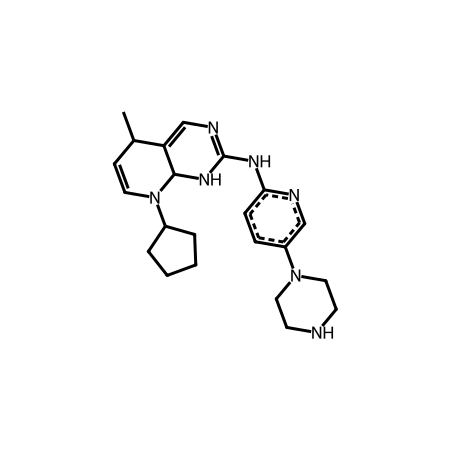 CC1C=CN(C2CCCC2)C2NC(Nc3ccc(N4CCNCC4)cn3)=NC=C12